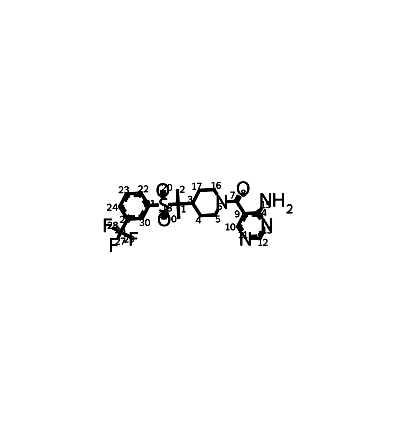 CC(C)(C1CCN(C(=O)c2cncnc2N)CC1)S(=O)(=O)c1cccc(C(F)(F)F)c1